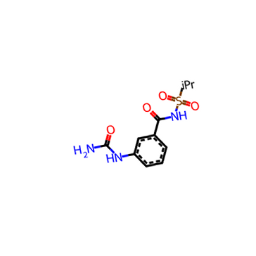 CC(C)S(=O)(=O)NC(=O)c1cccc(NC(N)=O)c1